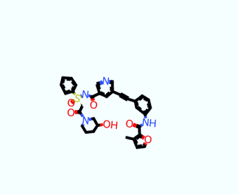 Cc1ccoc1C(=O)Nc1cccc(C#Cc2cncc(C(=O)N=[S@](=O)(CC(=O)N3CCCC(O)C3)c3ccccc3)c2)c1